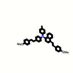 COc1ccc(C=Cc2ccc(N(c3ccc(C)cc3)c3ccc(C=Cc4ccc(OC)cc4)c4ccccc34)cc2)cc1